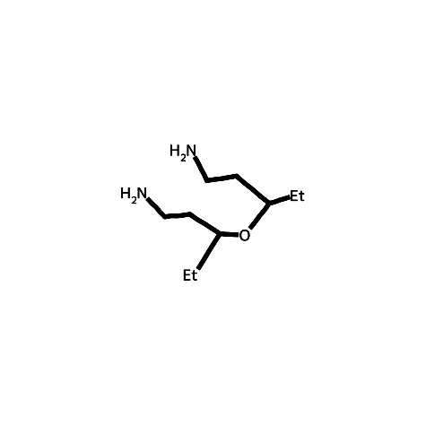 CCC(CCN)OC(CC)CCN